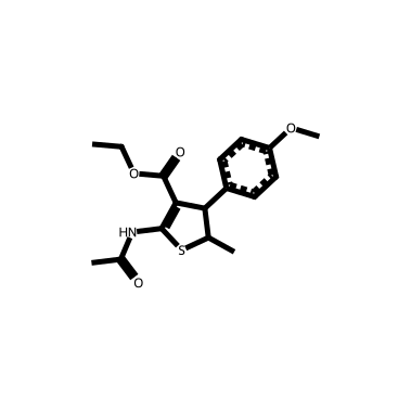 CCOC(=O)C1=C(NC(C)=O)SC(C)C1c1ccc(OC)cc1